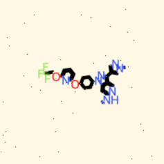 CNc1cc2c(cn1)c(-c1cnn(C)c1)nn2[C@H]1CC[C@@H](Oc2cccc(OCC(F)(F)F)n2)CC1